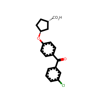 O=C(c1ccc(O[C@H]2CC[C@H](C(=O)O)C2)cc1)c1cccc(Cl)c1